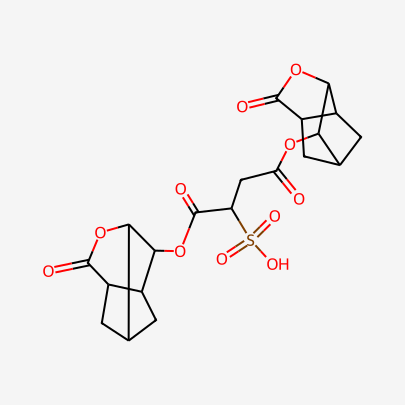 O=C(CC(C(=O)OC1C2CC3CC2C(=O)OC31)S(=O)(=O)O)OC1C2CC3C(=O)OC1C3C2